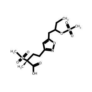 CCC(Cc1cc(CC[C@](C)(C(=O)O)S(C)(=O)=O)no1)OS(C)(=O)=O